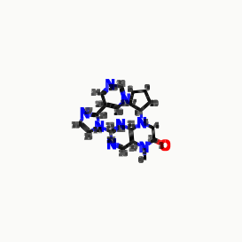 CN1C(=O)CN(C2CCCC2)c2nc(-n3ccnc3-c3cncnc3)ncc21